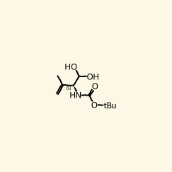 C=C(C)[C@H](NC(=O)OC(C)(C)C)C(O)O